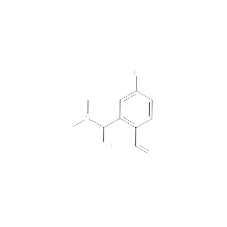 CN(C)C(O)c1cc(Br)ccc1C=O